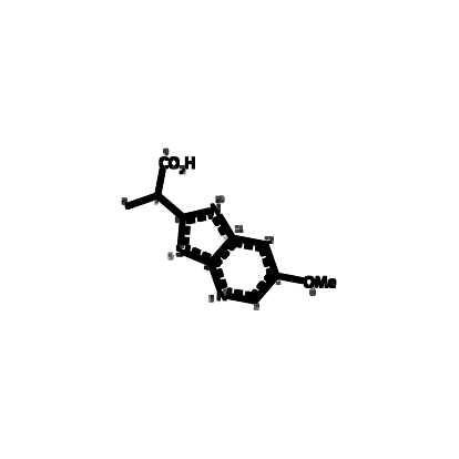 COc1cnc2sc(C(C)C(=O)O)nc2c1